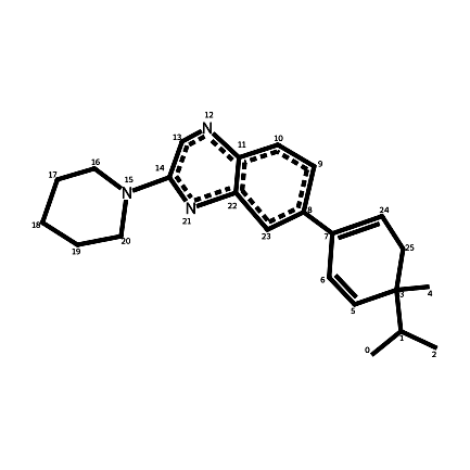 CC(C)C1(C)C=CC(c2ccc3ncc(N4CCCCC4)nc3c2)=CC1